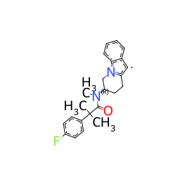 CN(C(=O)C(C)(C)c1ccc(F)cc1)[C@@H]1CCc2[c]c3ccccc3n2C1